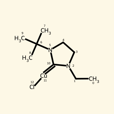 CCN1CCN(C(C)(C)C)[C]1=[Cu][Cl]